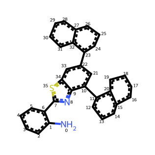 Nc1ccccc1-c1nc2c(-c3cccc4ccccc34)cc(-c3cccc4ccccc34)cc2s1